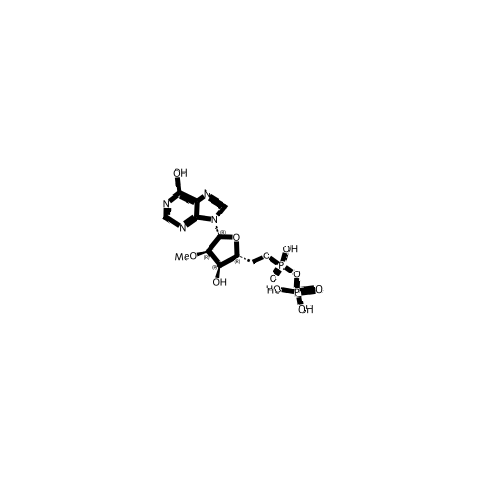 CO[C@@H]1[C@H](O)[C@@H](COP(=O)(O)OP(=O)(O)O)O[C@H]1n1cnc2c(O)ncnc21